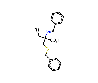 [2H]C[C@@](CSCc1ccccc1)(N=Cc1ccccc1)C(=O)O